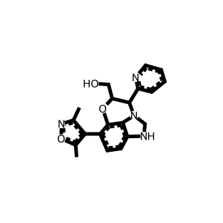 Cc1noc(C)c1-c1ccc2c3c1OC(CO)C(c1ccccn1)N3CN2